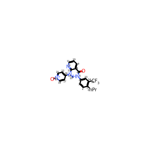 CCCc1ccc(NC(=O)c2cccnc2N(C)c2cc[n+]([O-])cc2)cc1C(F)(F)F